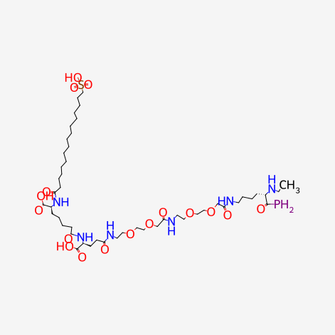 CCN[C@@H](CCCCNC(=O)COCCOCCNC(=O)COCCOCCNC(=O)CC[C@H](NC(=O)CCCC[C@H](NC(=O)CCCCCCCCCCCCCCCS(=O)(=O)O)C(=O)O)C(=O)O)C(=O)P